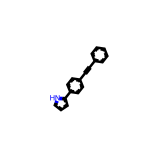 C(#Cc1ccc(-c2ccc[nH]2)cc1)c1ccccc1